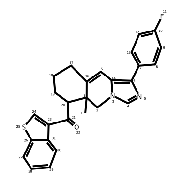 CC12Cn3cnc(-c4ccc(F)cc4)c3C=C1CCCC2C(=O)c1csc2ccccc12